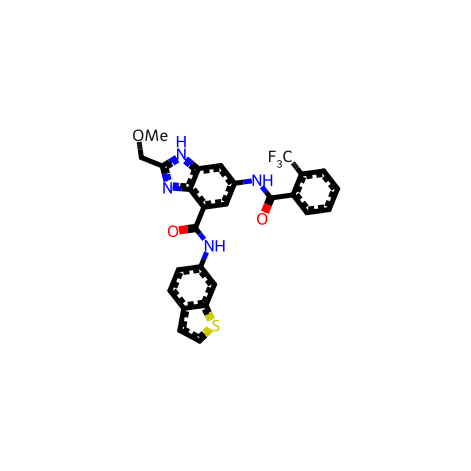 COCc1nc2c(C(=O)Nc3ccc4ccsc4c3)cc(NC(=O)c3ccccc3C(F)(F)F)cc2[nH]1